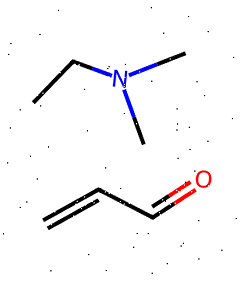 C=CC=O.CCN(C)C